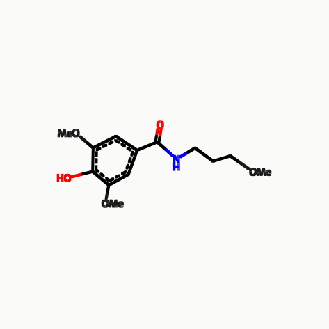 COCCCNC(=O)c1cc(OC)c(O)c(OC)c1